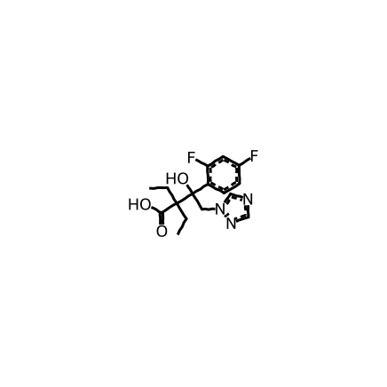 CCC(CC)(C(=O)O)C(O)(Cn1cncn1)c1ccc(F)cc1F